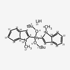 Cn1c([B-](OC(C)(C)C)(OC(C)(C)C)c2cc3ccccc3n2C)cc2ccccc21.[LiH]